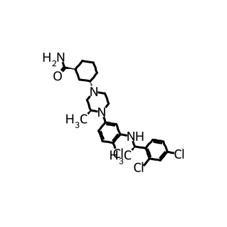 C[C@@H](Nc1cc(N2CCN([C@H]3CCC[C@H](C(N)=O)C3)C[C@@H]2C)ccc1Cl)c1ccc(Cl)cc1Cl